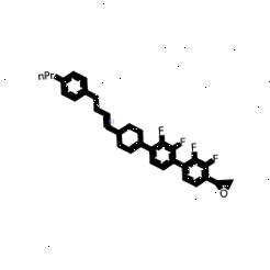 CCCc1ccc(CC/C=C/C2CC=C(c3ccc(-c4ccc(C5CO5)c(F)c4F)c(F)c3F)CC2)cc1